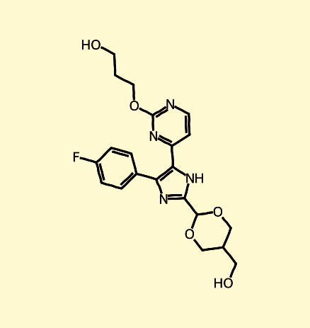 OCCCOc1nccc(-c2[nH]c(C3OCC(CO)CO3)nc2-c2ccc(F)cc2)n1